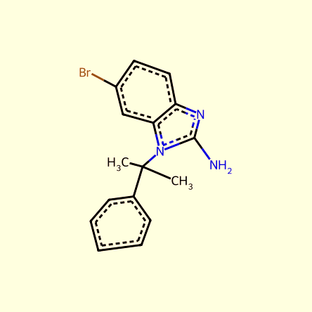 CC(C)(c1ccccc1)n1c(N)nc2ccc(Br)cc21